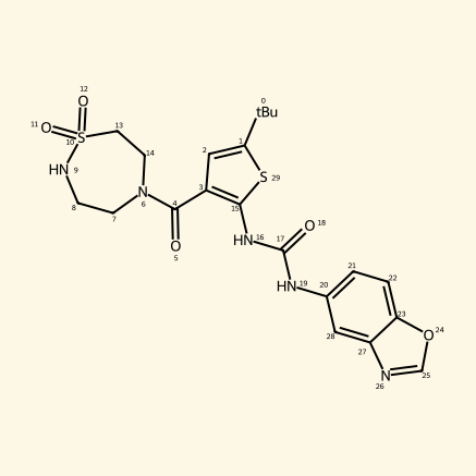 CC(C)(C)c1cc(C(=O)N2CCNS(=O)(=O)CC2)c(NC(=O)Nc2ccc3ocnc3c2)s1